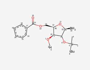 [2H]O[C@@H]1C(O[Si](C)(C)C(C)(C)C)[C@H](B)O[C@@H]1COC(=O)c1ccccc1